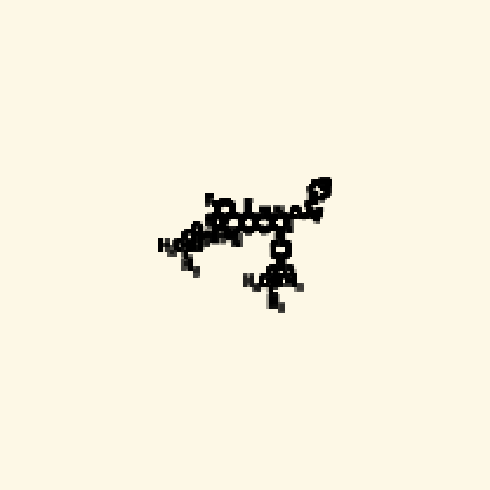 CC(C)(C)OC(=O)Nc1sc2c(F)ccc(-c3c(Cl)cc4cc5c(N6CCN(C(=O)OC(C)(C)C)CC6)nc(OCC6(CN7CCOCC7)CC6)nc5nc4c3F)c2c1C#N